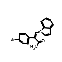 NC(=O)C(=Cn1ccc2ccccc21)c1ccc(Br)cc1